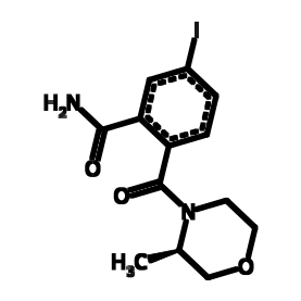 C[C@@H]1COCCN1C(=O)c1ccc(I)cc1C(N)=O